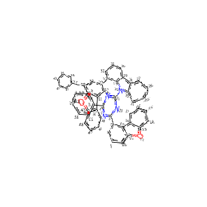 c1ccc(-c2nc(-c3cccc4oc5ccccc5c34)nc(-n3c4ccccc4c4cccc(-c5cc(-c6ccccc6)c6oc7ccccc7c6c5)c43)n2)cc1